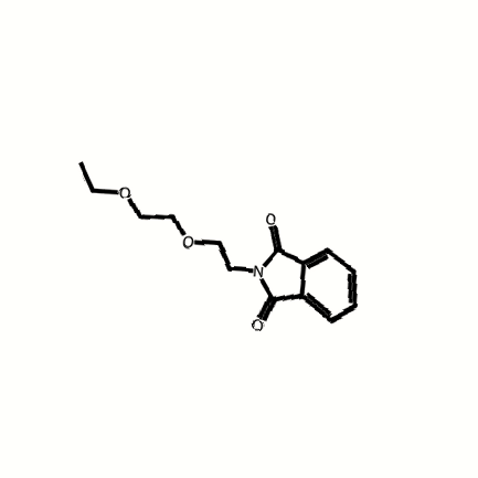 CCOCCOCCN1C(=O)c2ccccc2C1=O